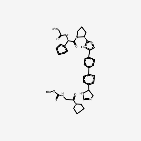 COC(=O)N[C@@H](C(=O)N1CCC[C@H]1c1ncc(-c2ccc(-c3ccc(C4CN=C([C@@H]5CCCN5C(=O)CNC(=O)OC(C)(C)C)N4)cc3)cc2)[nH]1)c1ccccc1